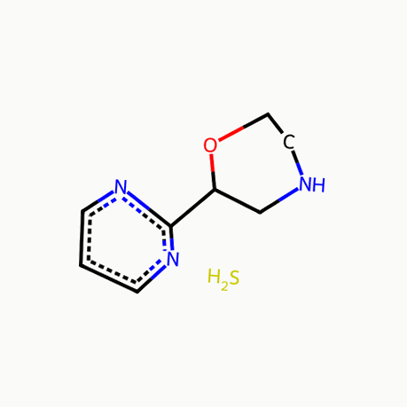 S.c1cnc(C2CNCCO2)nc1